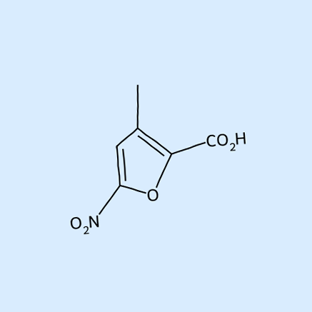 Cc1cc([N+](=O)[O-])oc1C(=O)O